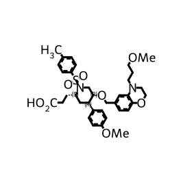 COCCCN1CCOc2ccc(CO[C@H]3CN(S(=O)(=O)c4ccc(C)cc4)[C@@H](CCC(=O)O)C[C@@H]3c3ccc(OC)cc3)cc21